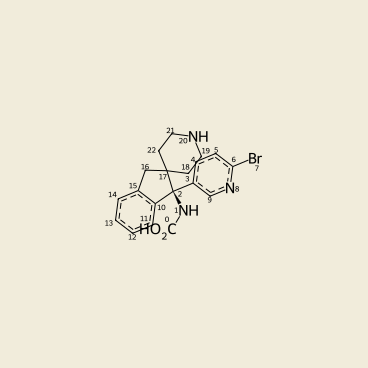 O=C(O)N[C@@]1(c2ccc(Br)nc2)c2ccccc2CC12CCNCC2